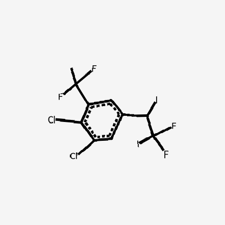 CC(F)(F)c1cc(C(I)C(F)(F)I)cc(Cl)c1Cl